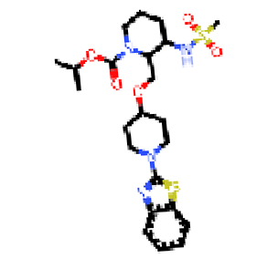 CC(C)OC(=O)N1CCCC(NS(C)(=O)=O)C1COC1CCN(c2nc3ccccc3s2)CC1